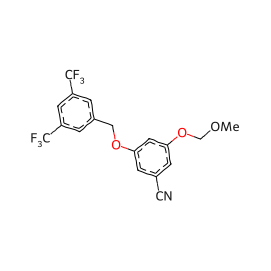 COCOc1cc(C#N)cc(OCc2cc(C(F)(F)F)cc(C(F)(F)F)c2)c1